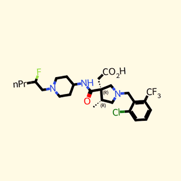 CCCC(F)CN1CCC(NC(=O)[C@@]2(CC(=O)O)CN(Cc3c(Cl)cccc3C(F)(F)F)C[C@@H]2C)CC1